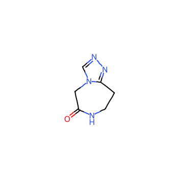 O=C1Cn2cnnc2CCN1